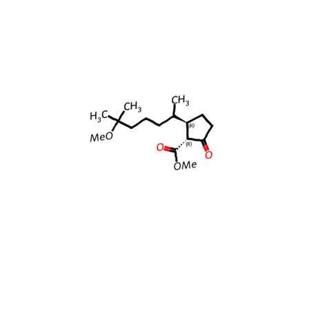 COC(=O)[C@H]1C(=O)CC[C@@H]1C(C)CCCC(C)(C)OC